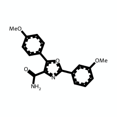 COc1ccc(-c2oc(-c3cccc(OC)c3)nc2C(N)=O)cc1